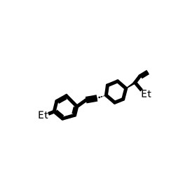 C=CC(CC)[C@H]1CC[C@H](C#Cc2ccc(CC)cc2)CC1